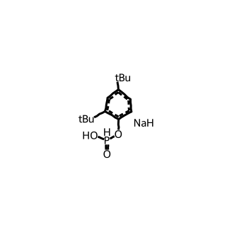 CC(C)(C)c1ccc(O[PH](=O)O)c(C(C)(C)C)c1.[NaH]